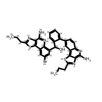 CCCc1nc2c(N)nc3ccc(-c4ccccc4C(O)c4cc(Br)cc5c4nc(N)c4nc(CCC)sc45)cc3c2s1